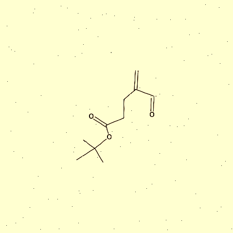 C=C([C]=O)CCC(=O)OC(C)(C)C